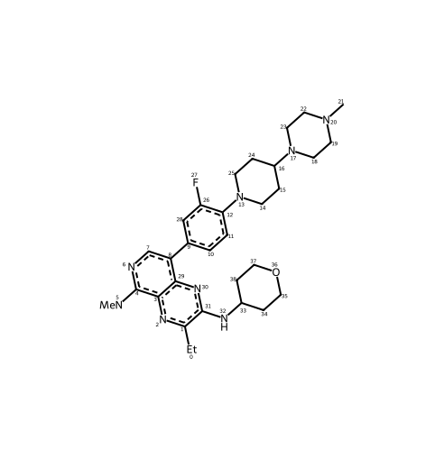 CCc1nc2c(NC)ncc(-c3ccc(N4CCC(N5CCN(C)CC5)CC4)c(F)c3)c2nc1NC1CCOCC1